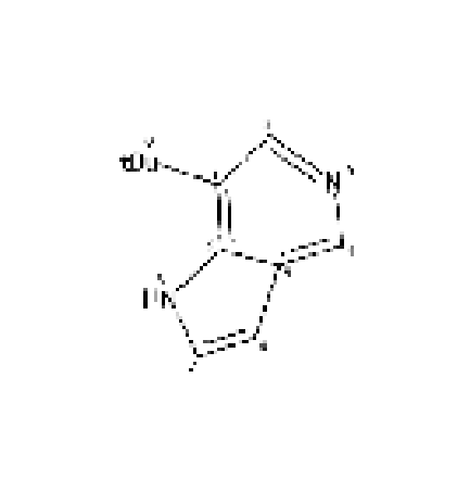 CC(C)(C)c1cncc2cc[nH]c12